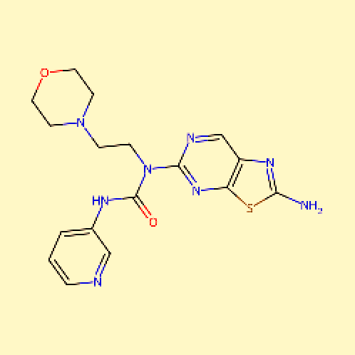 Nc1nc2cnc(N(CCN3CCOCC3)C(=O)Nc3cccnc3)nc2s1